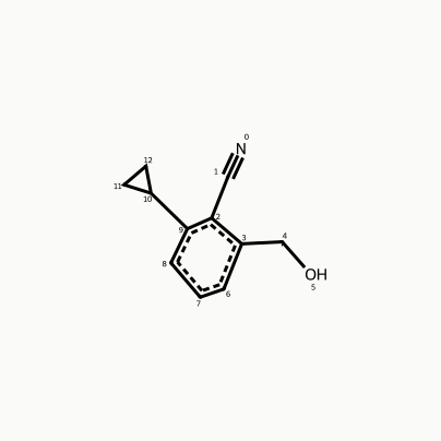 N#Cc1c([CH]O)cccc1C1CC1